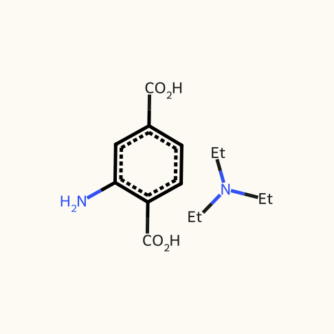 CCN(CC)CC.Nc1cc(C(=O)O)ccc1C(=O)O